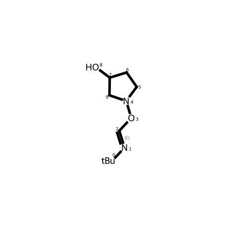 CC(C)(C)/N=C/ON1CCC(O)C1